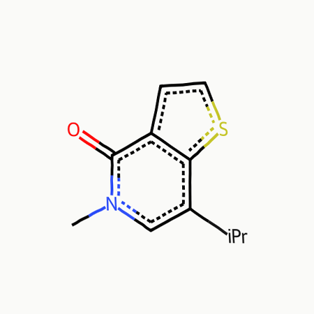 CC(C)c1cn(C)c(=O)c2ccsc12